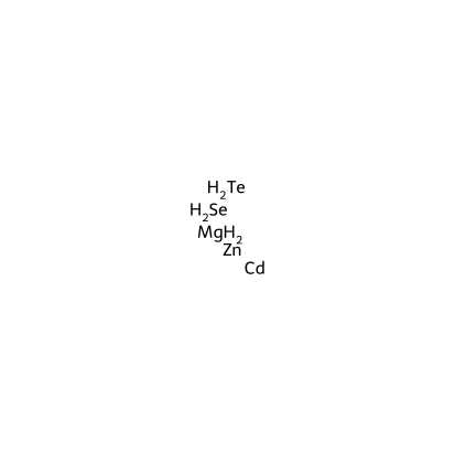 [Cd].[MgH2].[SeH2].[TeH2].[Zn]